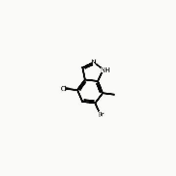 Cc1c(Br)cc(Cl)c2cn[nH]c12